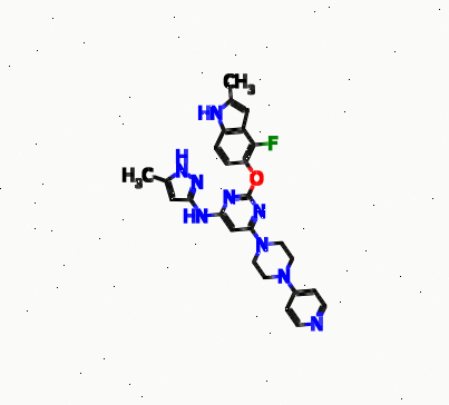 Cc1cc(Nc2cc(N3CCN(c4ccncc4)CC3)nc(Oc3ccc4[nH]c(C)cc4c3F)n2)n[nH]1